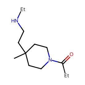 CCNCCC1(C)CCN(C(=O)CC)CC1